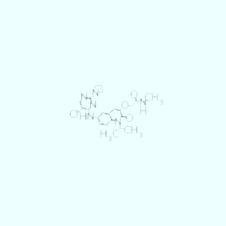 CNC(=O)COc1cc2cc(Nc3nc(N4CCC4)ncc3Cl)ccc2n(C(C)C)c1=O